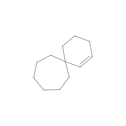 C1=CC2(CCC1)CCCCCC2